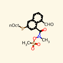 CCCCCCCCSc1cc(C(=O)N(C)OS(C)(=O)=O)c2c(C=O)cccc2c1